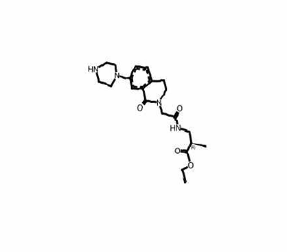 CCOC(=O)[C@H](C)CNC(=O)CN1CCc2ccc(N3CCNCC3)cc2C1=O